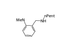 CCCCCNCc1ccccc1NC